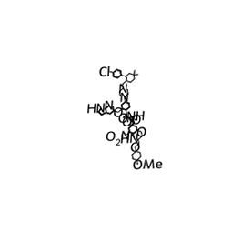 COC1CCC(OCC2COc3cc(S(=O)(=O)NC(=O)c4ccc(N5CCN(CC6=C(c7ccc(Cl)cc7)CC(C)(C)CC6)CC5)cc4Oc4cnc5[nH]ccc5c4)cc([N+](=O)[O-])c3N2)CC1